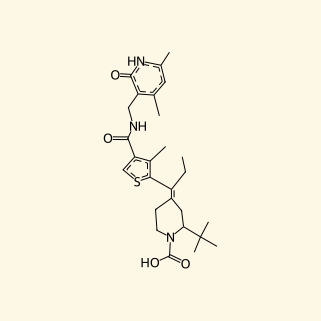 CCC(=C1CCN(C(=O)O)C(C(C)(C)C)C1)c1scc(C(=O)NCc2c(C)cc(C)[nH]c2=O)c1C